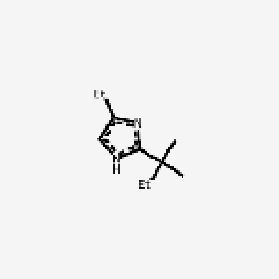 CCc1c[nH]c(C(C)(C)CC)n1